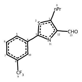 CCCc1sc(-c2cccc(C(F)(F)F)c2)nc1C=O